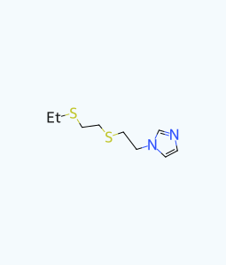 CCSCCSCCn1ccnc1